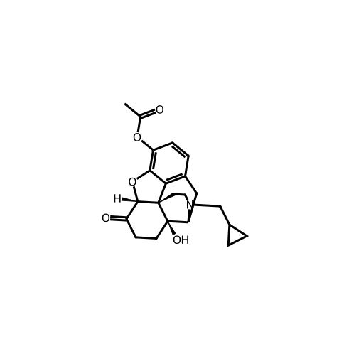 CC(=O)Oc1ccc2c3c1O[C@H]1C(=O)CC[C@@]4(O)C(C2)N(CC2CC2)CC[C@]314